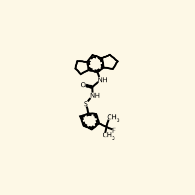 CC(C)(F)c1cccc(SNC(=O)Nc2c3c(cc4c2CCC4)CCC3)c1